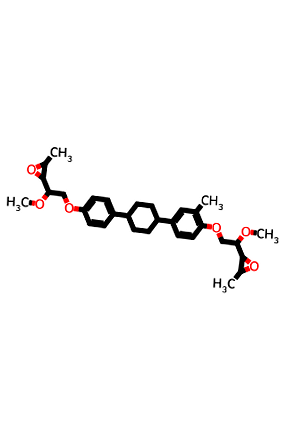 COC(COc1ccc(C2CCC(c3ccc(OCC(OC)C4OC4C)c(C)c3)CC2)cc1)C1OC1C